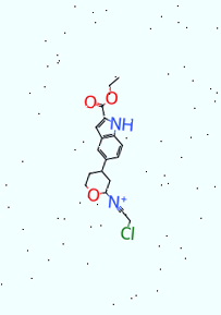 CCOC(=O)c1cc2cc(C3CCOC([N+]#CCCl)C3)ccc2[nH]1